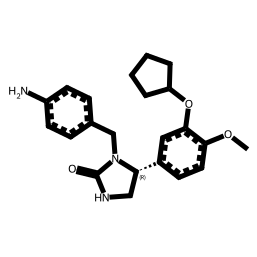 COc1ccc([C@@H]2CNC(=O)N2Cc2ccc(N)cc2)cc1OC1CCCC1